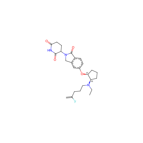 C=C(F)CCCN(CC)[C@@H]1CCC[C@@H]1Oc1ccc2c(c1)CN(C1CCC(=O)NC1=O)C2=O